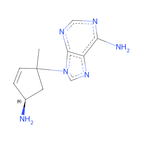 CC1(n2cnc3c(N)ncnc32)C=C[C@H](N)C1